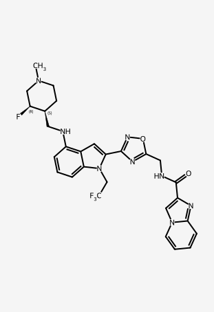 CN1CC[C@@H](CNc2cccc3c2cc(-c2noc(CNC(=O)c4cn5ccccc5n4)n2)n3CC(F)(F)F)[C@@H](F)C1